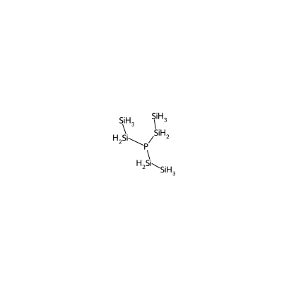 [SiH3][SiH2]P([SiH2][SiH3])[SiH2][SiH3]